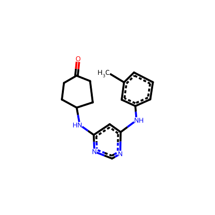 Cc1cccc(Nc2cc(NC3CCC(=O)CC3)ncn2)c1